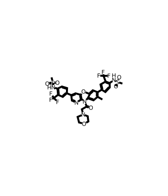 Cc1cc2c(cc1-c1ccc(NS(C)(=O)=O)c(C(F)(F)F)c1)Oc1cc(-c3ccc(NS(C)(=O)=O)c(C(F)(F)F)c3)cnc1N2C(=O)CN1CCOCC1